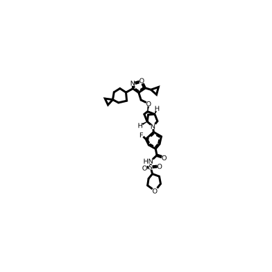 O=C(NS(=O)(=O)C1CCOCC1)c1ccc(N2C[C@@H]3C[C@H]2C[C@H]3OCc2c(C3CCC4(CC3)CC4)noc2C2CC2)c(F)c1